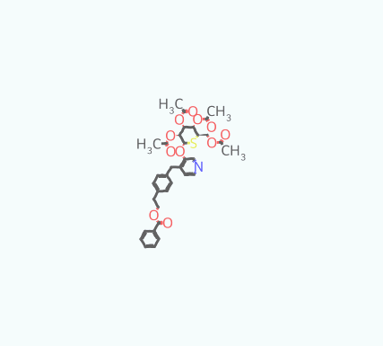 CC(=O)OC[C@H]1S[C@@H](Oc2cnccc2Cc2ccc(CCOC(=O)c3ccccc3)cc2)[C@H](OC(C)=O)[C@@H](OC(C)=O)[C@@H]1OC(C)=O